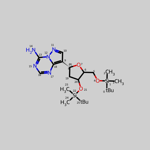 CC(C)(C)[Si](C)(C)OCC1O[C@@H](c2cnn3c(N)ncnc23)CC1O[Si](C)(C)C(C)(C)C